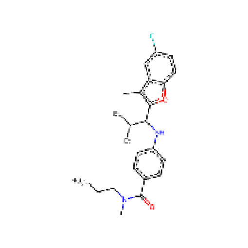 CCC(CC)C(Nc1ccc(C(=O)N(C)CCC(=O)O)cc1)c1oc2ccc(F)cc2c1C